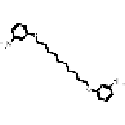 Nc1cccc(OCCCCCCCCCCOc2cccc(N)c2)c1